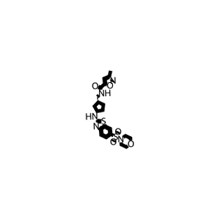 Cc1cc(C(=O)NC[C@@H]2CC[C@H](Nc3nc4ccc(S(=O)(=O)N5CCOCC5)cc4s3)C2)on1